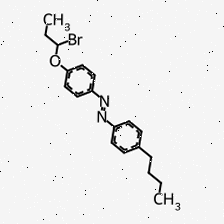 CCCCc1ccc(/N=N/c2ccc(OC(Br)CC)cc2)cc1